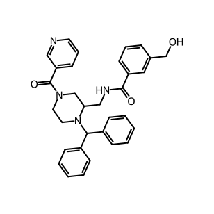 O=C(NCC1CN(C(=O)c2cccnc2)CCN1C(c1ccccc1)c1ccccc1)c1cccc(CO)c1